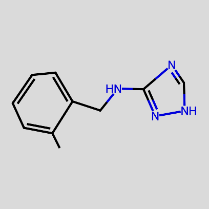 Cc1ccccc1CNc1nc[nH]n1